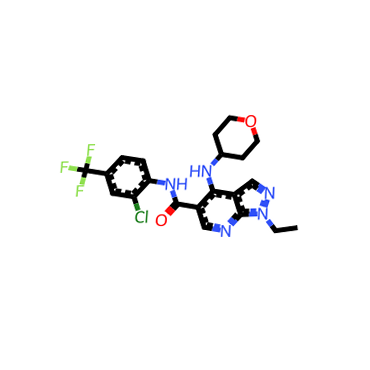 CCn1ncc2c(NC3CCOCC3)c(C(=O)Nc3ccc(C(F)(F)F)cc3Cl)cnc21